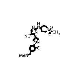 CNCc1ccc(-n2cc(-c3nc(NC4CCN(S(C)(=O)=O)CC4)ncc3C#N)cn2)c(Cl)c1